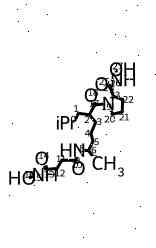 CC(C)CC(CCCC(C)NC(=O)CCC(=O)NO)C(=O)N1CCCC1C(=O)NO